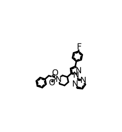 O=S(=O)(Cc1ccccc1)N1CCCC(c2cc(-c3ccc(F)cc3)nn2-c2ncccn2)C1